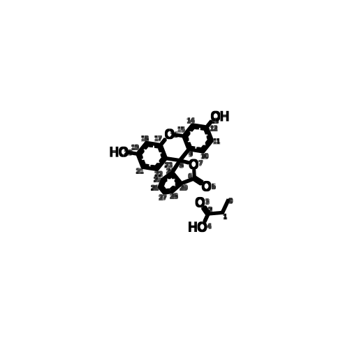 CCC(=O)O.O=C1OC2(c3ccc(O)cc3Oc3cc(O)ccc32)c2ccccc21